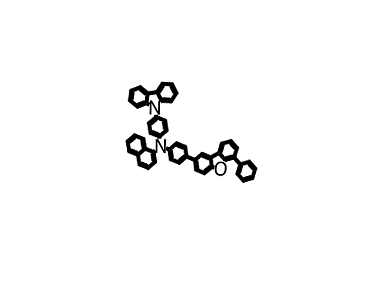 c1ccc(-c2cccc3c2oc2ccc(-c4ccc(N(c5ccc(-n6c7ccccc7c7ccccc76)cc5)c5cccc6ccccc56)cc4)cc23)cc1